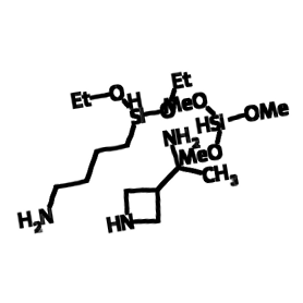 CC(N)C1CNC1.CCO[SiH](CCCCN)OCC.CO[SiH](OC)OC